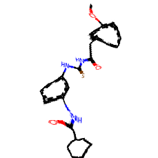 COc1cccc(C(=O)NC(=S)Nc2cccc(NC(=O)C3CCCCC3)c2)c1